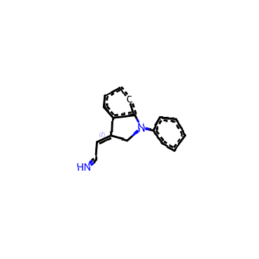 N=C/C=C1\CN(c2ccccc2)c2ccccc21